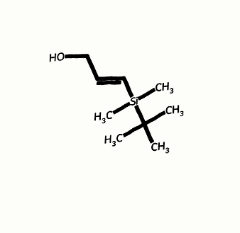 CC(C)(C)[Si](C)(C)C=CCO